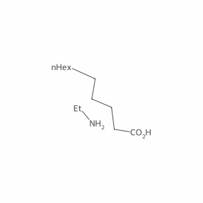 CCCCCCCCCCC(=O)O.CCN